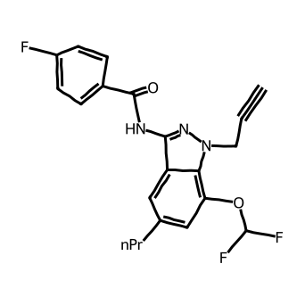 C#CCn1nc(NC(=O)c2ccc(F)cc2)c2cc(CCC)cc(OC(F)F)c21